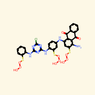 Nc1c(SOOO)cc(Nc2ccc(Nc3nc(Cl)nc(Nc4ccccc4SOOO)n3)c(SOOO)c2)c2c1C(=O)c1ccccc1C2=O